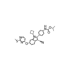 CSc1nccc(Oc2ccc3c(C#N)c(-c4ccc(NC(=O)OC(C)C)cc4)n(C4CCC4)c3c2)n1